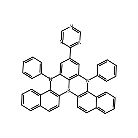 c1ccc(N2c3cc(-c4ncncn4)cc4c3B(c3ccc5ccccc5c32)c2ccc3ccccc3c2N4c2ccccc2)cc1